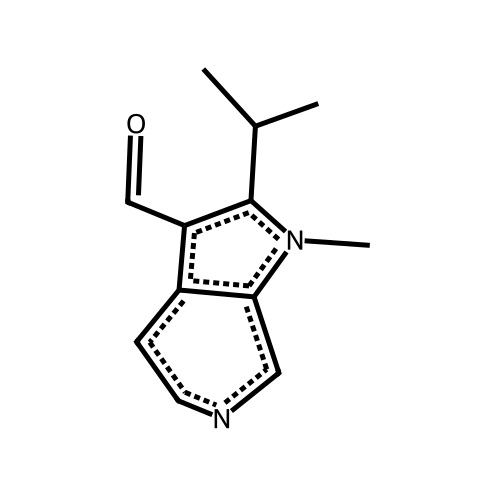 CC(C)c1c(C=O)c2ccncc2n1C